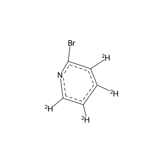 [2H]c1nc(Br)c([2H])c([2H])c1[2H]